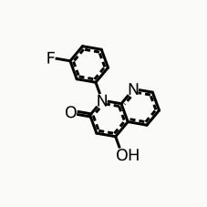 O=c1cc(O)c2cccnc2n1-c1cccc(F)c1